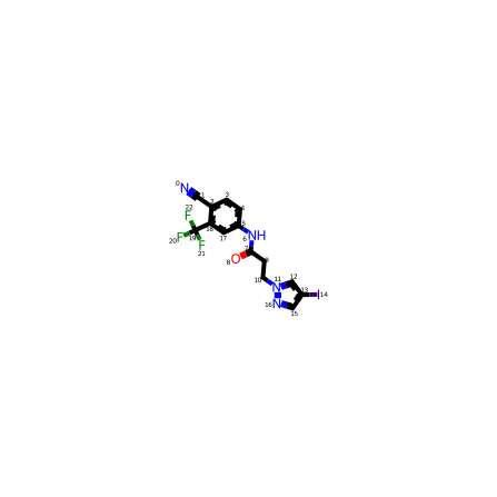 N#Cc1ccc(NC(=O)CCn2cc(I)cn2)cc1C(F)(F)F